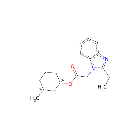 CCc1nc2ccccc2n1CC(=O)O[C@H]1CCC[C@@H](C)C1